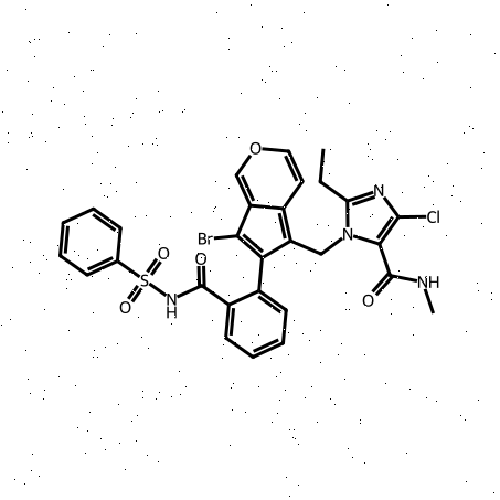 CCc1nc(Cl)c(C(=O)NC)n1Cc1c2ccocc-2c(Br)c1-c1ccccc1C(=O)NS(=O)(=O)c1ccccc1